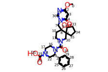 COc1cc(=O)n(C[C@]2(O)CCN(C(=O)N3CCN(C(=O)O)C[C@H]3c3ccccc3)CC23CCCC3)cn1